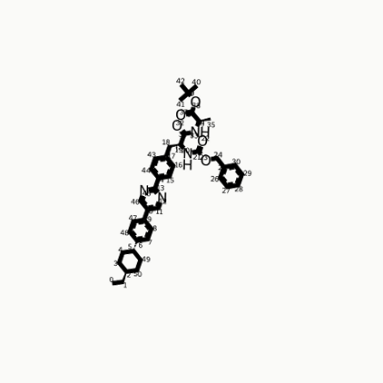 CC[C@H]1CC[C@H](c2ccc(-c3cnc(-c4ccc(C[C@H](NC(=O)OCc5ccccc5)C(=O)N[C@H](C)C(=O)OC(C)(C)C)cc4)nc3)cc2)CC1